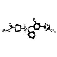 CC(C)(C)OC(=O)N1CCN(S(=O)(=O)N(Cc2ccc(-c3nnc(C(F)(F)F)o3)cc2F)c2cccnc2)CC1